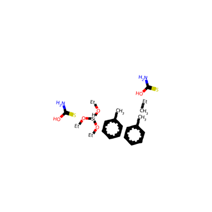 CCC.CCO[SiH](OCC)OCC.Cc1ccccc1.Cc1ccccc1.NC(O)=S.NC(O)=S